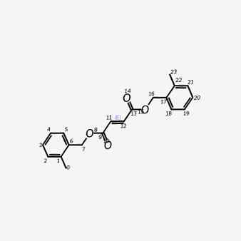 Cc1ccccc1COC(=O)/C=C/C(=O)OCc1ccccc1C